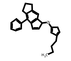 CCCCC1=CC[C]([Zr][CH]2C=Cc3c2cc2c(c3-c3ccccc3)CCC2)=C1